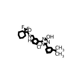 CC(C)c1cccc(-c2nc(O)nc(-c3cc(CNC(=O)C4(C(F)F)CCCCCC4)ccc3Cl)n2)c1